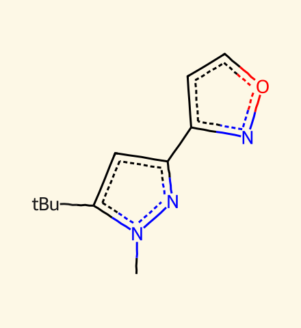 Cn1nc(-c2ccon2)cc1C(C)(C)C